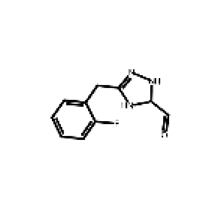 O=CC1NN=C(Cc2ccccc2F)N1